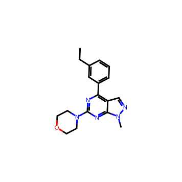 CCc1cccc(-c2nc(N3CCOCC3)nc3c2cnn3C)c1